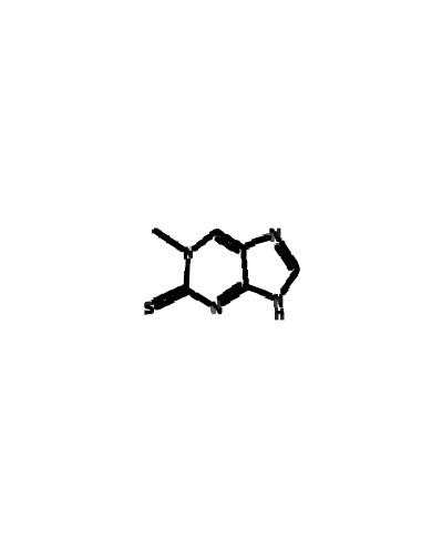 Cn1cc2nc[nH]c2nc1=S